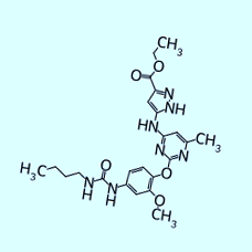 CCCCNC(=O)Nc1ccc(Oc2nc(C)cc(Nc3cc(C(=O)OCC)n[nH]3)n2)c(OC)c1